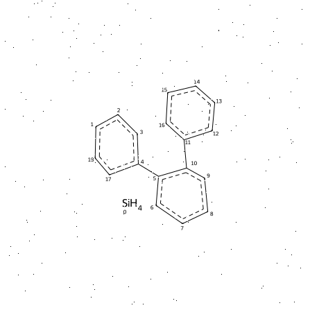 [SiH4].c1ccc(-c2ccccc2-c2ccccc2)cc1